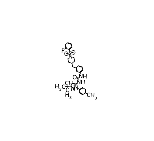 Cc1ccc(-n2nc(C(C)(C)C)cc2NC(=O)Nc2cccc(CC3CCN(S(=O)(=O)c4ccccc4F)CC3)c2)cc1